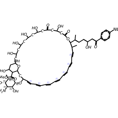 CNc1ccc(C(=O)CC(O)CCC(C)C2OC(=O)CC(O)CC(=O)CC(O)CC(O)CC(O)CC(O)CC3(O)CC(O)C(C(=O)OC)C(CC(O[C@@H]4O[C@H](C)[C@@H](O)[C@H](N)[C@@H]4O)/C=C/C=C/C=C/C=C/C=C/C=C/C=C/C2C)O3)cc1